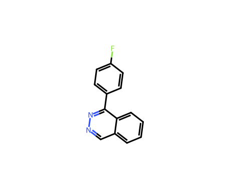 Fc1ccc(-c2nncc3ccccc23)cc1